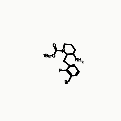 CC(C)(C)OC(=O)N1CCCC(N)C1Cc1cccc(Br)c1F